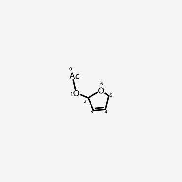 CC(=O)OC1C=CCO1